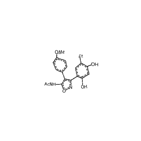 CCc1cc(-c2noc(NC(C)=O)c2-c2ccc(OC)cc2)c(O)cc1O